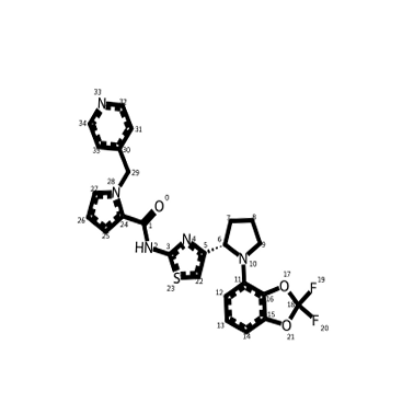 O=C(Nc1nc([C@@H]2CCCN2c2cccc3c2OC(F)(F)O3)cs1)c1cccn1Cc1ccncc1